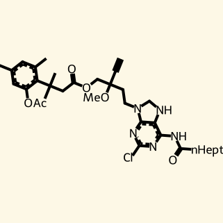 C#CC(CCN1CNc2c(NC(=O)CCCCCCC)nc(Cl)nc21)(COC(=O)CC(C)(C)c1c(C)cc(C)cc1OC(C)=O)OC